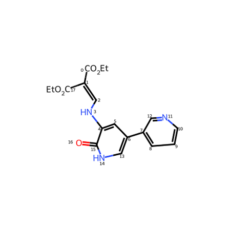 CCOC(=O)C(=CNc1cc(-c2cccnc2)c[nH]c1=O)C(=O)OCC